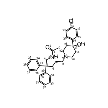 CC(=O)NCC(CCCN1CCC(O)(c2ccc(Cl)cc2)CC1)(c1ccccc1)c1ccccc1